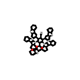 N#Cc1c(-c2ccc3sc4ccccc4c3c2)c(-n2c3ccccc3c3c4ccccc4oc32)c(-c2ccc3sc4ccccc4c3c2)c(-n2c3ccccc3c3c4ccccc4oc32)c1-c1ccc2sc3ccccc3c2c1